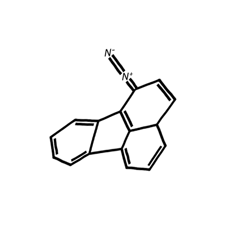 [N-]=[N+]=C1C=CC2C=CC=C3C2=C1c1ccccc13